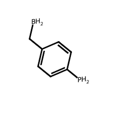 BCc1ccc(P)cc1